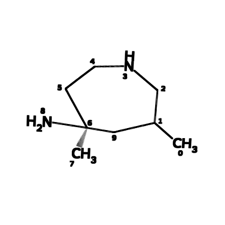 CC1CNCC[C@](C)(N)C1